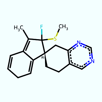 CSC1(F)C(C)=C2C=CCC=C2[C@]12CCc1cncnc1C2